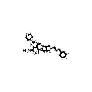 Cc1nc(N2CCOCC2)nc(C(N)=O)c1C(=O)N1CC2CN(CC[CH]c3ccccc3)C[C@H]2C1